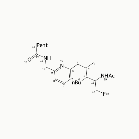 CCCCC(C(C)Cc1cccc(CNC(=O)C(C)CCC)n1)C(CF)NC(C)=O